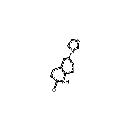 O=c1ccc2cc(-n3ccnc3)ccc2[nH]1